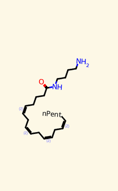 CCCCC/C=C\C/C=C\C/C=C\C/C=C\CCCC(=O)NCCCCN